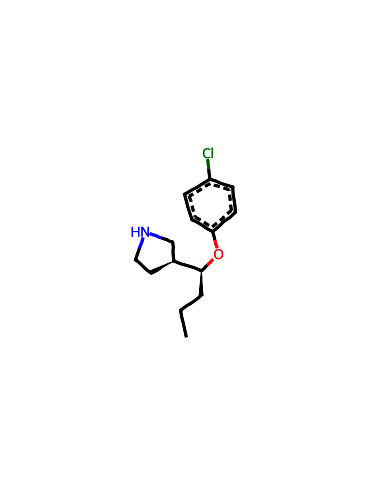 CCC[C@H](Oc1ccc(Cl)cc1)[C@H]1CCNC1